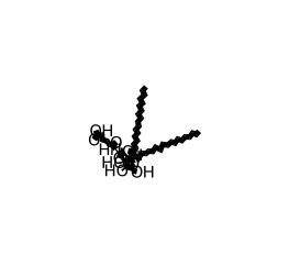 CCCCCCCCCCCCCCCCCCN(C(=O)CCCCCCCCCCCCCCCCC)[C@@H]1O[C@H](CO)[C@@H](O)[C@H](O)[C@H]1NC(=O)CNC(=O)CCCCC(=O)O